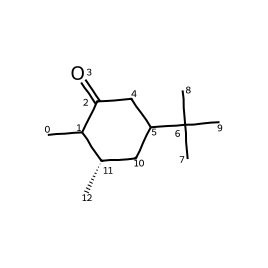 CC1C(=O)CC(C(C)(C)C)C[C@@H]1C